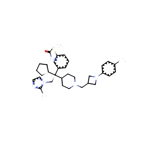 CCc1nccn1C[C@@](c1cccc(F)c1)(C1CCN(CC2CN(c3ccc(C#N)cc3)C2)CC1)[C@H]1CCC[C@@H]1NC(=O)OC